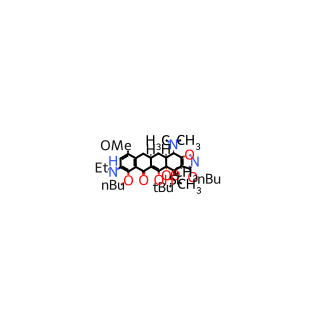 CCCCOc1noc2c1C(=O)[C@@]1(O[Si](C)(C)C(C)(C)C)C(O)=C3C(=O)c4c(c(OC)cc(NCC)c4OCCCC)C[C@H]3C[C@H]1[C@@H]2N(C)C